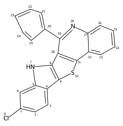 Clc1ccc2c(c1)[nH]c1c2sc2c3ccccc3nc(-c3ccccc3)c12